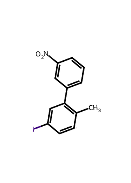 Cc1[c]cc(I)cc1-c1cccc([N+](=O)[O-])c1